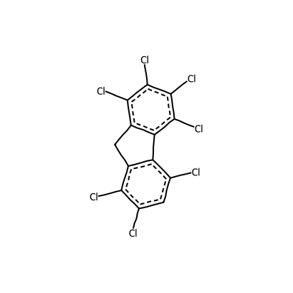 Clc1cc(Cl)c2c(c1Cl)Cc1c(Cl)c(Cl)c(Cl)c(Cl)c1-2